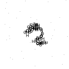 [2H]C1([2H])N(CC2CCN(CCOc3ccc(Nc4ncc(C)c(Nc5cccc(S(=O)(=O)NC(C)(C)C)c5)n4)cc3)CC2)C([2H])([2H])C([2H])([2H])N(c2cc(F)c3c(c2F)C(=O)N(C2CCC(=O)NC2=O)C3=O)C1([2H])[2H]